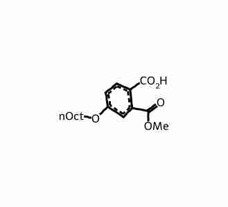 CCCCCCCCOc1ccc(C(=O)O)c(C(=O)OC)c1